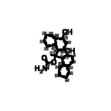 CC(OC(N)=O)(c1cccc2ccccc12)c1c(O)cc(O)c2ccccc12